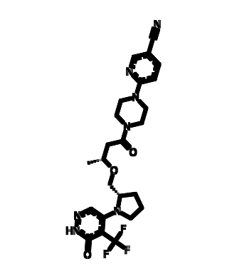 C[C@H](CC(=O)N1CCN(c2ccc(C#N)cn2)CC1)OC[C@@H]1CCCN1c1cn[nH]c(=O)c1C(F)(F)F